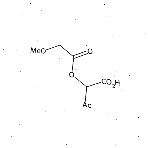 COCC(=O)OC(C(C)=O)C(=O)O